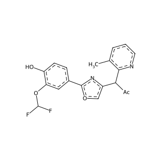 CC(=O)C(c1coc(-c2ccc(O)c(OC(F)F)c2)n1)c1ncccc1C